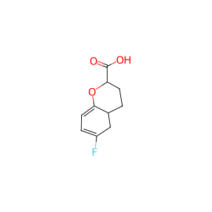 O=C(O)C1CCC2CC(F)=CC=C2O1